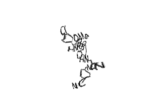 COC(=O)[C@H](Cc1ccc(Cl)cc1)NC(=O)c1cccc2c1S(=O)(=O)CCC2NCc1cncn1Cc1ccc(C#N)cc1